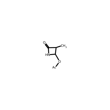 CC(=O)OC1NC(=O)C1C